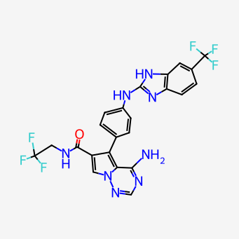 Nc1ncnn2cc(C(=O)NCC(F)(F)F)c(-c3ccc(Nc4nc5ccc(C(F)(F)F)cc5[nH]4)cc3)c12